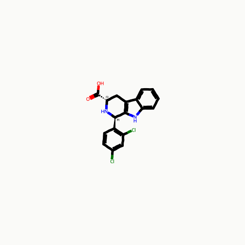 O=C(O)[C@@H]1Cc2c([nH]c3ccccc23)[C@@H](c2ccc(Cl)cc2Cl)N1